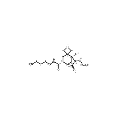 NCCCONC(=O)[C@@H]1CC2(COC2)[C@@H]2CN1C(=O)N2OS(=O)(=O)O